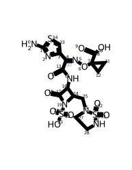 Nc1nc(/C(=N/OC2(C(=O)O)CC2)C(=O)NC2C(=O)N(S(=O)(=O)O)C2CN2CCNS2(=O)=O)cs1